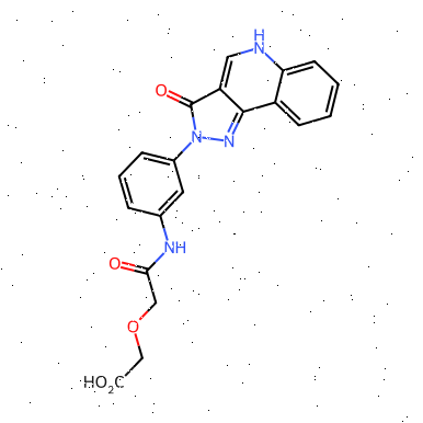 O=C(O)COCC(=O)Nc1cccc(-n2nc3c4ccccc4[nH]cc-3c2=O)c1